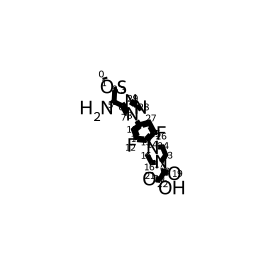 COC(=S)C(N)c1cn(-c2cc(F)c(N3CCN(C(=O)C(=O)O)CC3)c(F)c2)nn1